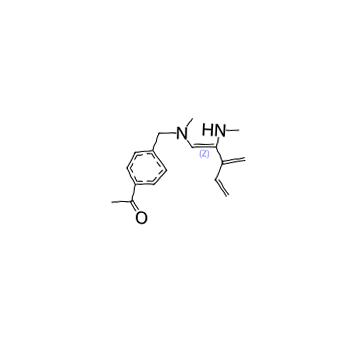 C=CC(=C)/C(=C/N(C)Cc1ccc(C(C)=O)cc1)NC